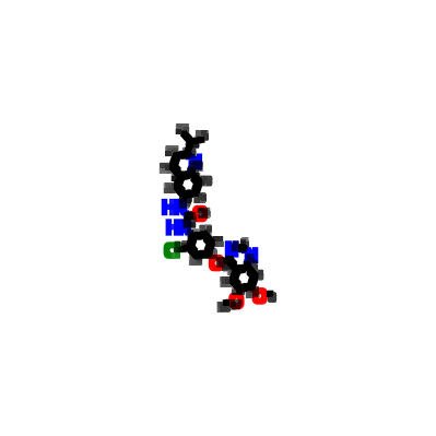 COc1cc2ncnc(Oc3ccc(NC(=O)Nc4ccc5nc(C(C)C)ccc5c4)c(Cl)c3)c2cc1OC